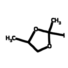 CC1COC(C)(I)O1